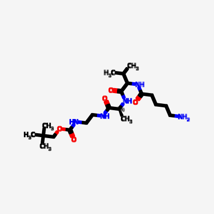 CC(C)C(NC(=O)CCCCN)C(=O)N[C@@H](C)C(=O)NCCNC(=O)OCC(C)(C)C